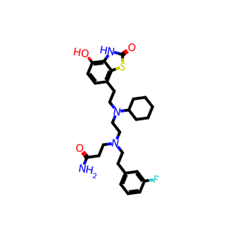 NC(=O)CCN(CCc1cccc(F)c1)CCN(CCc1ccc(O)c2[nH]c(=O)sc12)C1CCCCC1